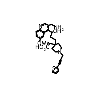 COc1ccc2ncc(CN)c([C@H](O)CCC3(CC(=O)O)CCN(CC#Cc4cccs4)CC3)c2c1